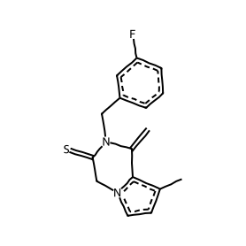 C=C1c2c(C)ccn2CC(=S)N1Cc1cccc(F)c1